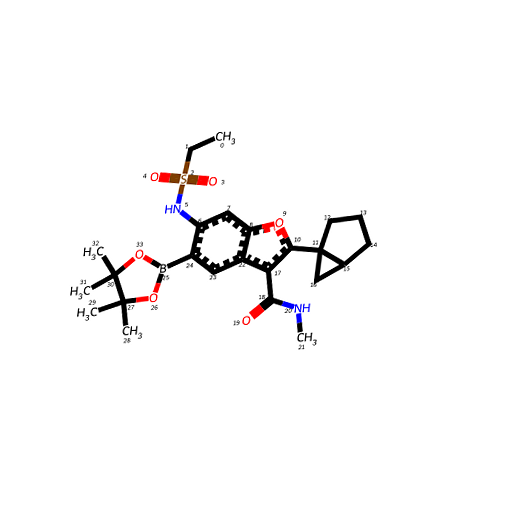 CCS(=O)(=O)Nc1cc2oc(C34CCCC3C4)c(C(=O)NC)c2cc1B1OC(C)(C)C(C)(C)O1